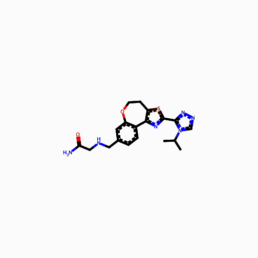 CC(C)n1cnnc1-c1nc2c(s1)CCOc1cc(CNCC(N)=O)ccc1-2